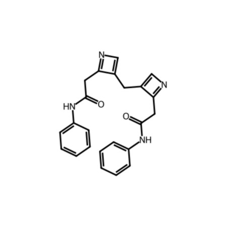 O=C(CC1=NC=C1CC1=CN=C1CC(=O)Nc1ccccc1)Nc1ccccc1